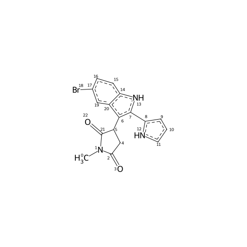 CN1C(=O)CC(c2c(-c3ccc[nH]3)[nH]c3ccc(Br)cc23)C1=O